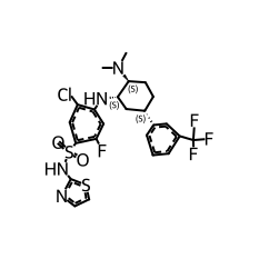 CN(C)[C@H]1CC[C@H](c2cccc(C(F)(F)F)c2)C[C@@H]1Nc1cc(F)c(S(=O)(=O)Nc2nccs2)cc1Cl